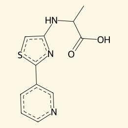 CC(Nc1csc(-c2cccnc2)n1)C(=O)O